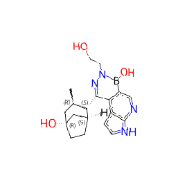 C[C@@H]1C[C@]2(O)CC[C@@H](C2)[C@H]1C1=NN(CCO)B(O)c2cnc3[nH]ccc3c21